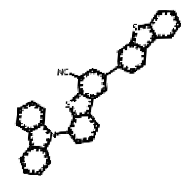 N#Cc1cc(-c2ccc3c(c2)sc2ccccc23)cc2c1sc1c(-n3c4ccccc4c4ccccc43)cccc12